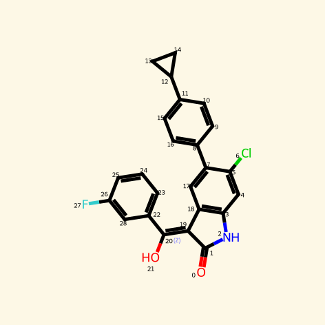 O=C1Nc2cc(Cl)c(-c3ccc(C4CC4)cc3)cc2/C1=C(/O)c1cccc(F)c1